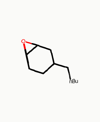 CCCCCC1CCC2OC2C1